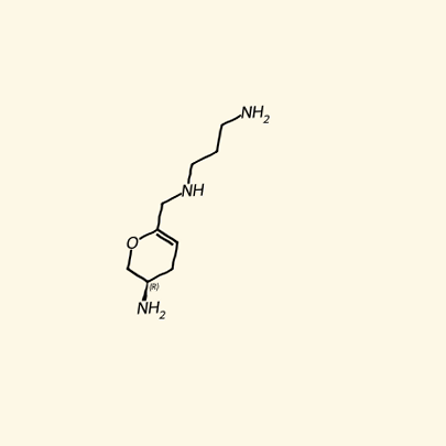 NCCCNCC1=CC[C@@H](N)CO1